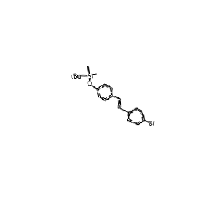 CC(C)(C)[Si](C)(C)Oc1ccc(C=Cc2ccc(Br)cc2)cc1